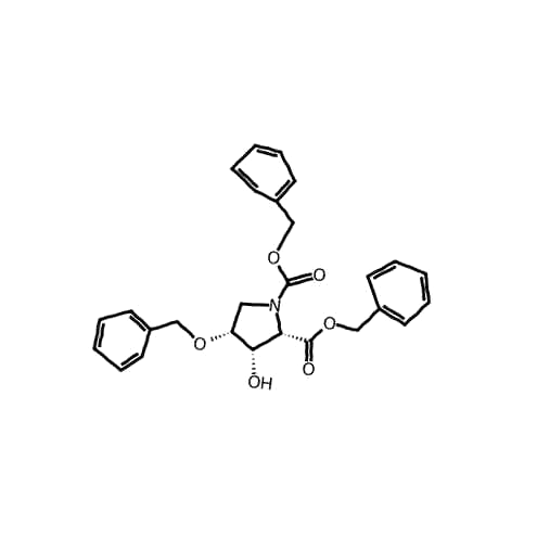 O=C(OCc1ccccc1)[C@@H]1[C@H](O)[C@H](OCc2ccccc2)CN1C(=O)OCc1ccccc1